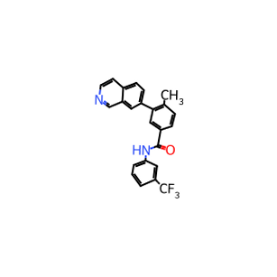 Cc1ccc(C(=O)Nc2cccc(C(F)(F)F)c2)cc1-c1ccc2ccncc2c1